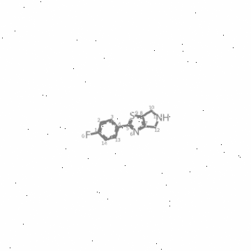 Fc1ccc(-c2nc3c(s2)CNC3)cc1